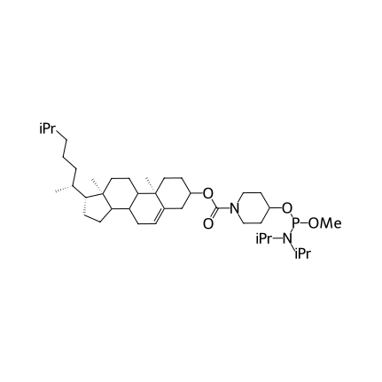 COP(OC1CCN(C(=O)OC2CC[C@@]3(C)C(=CCC4C3CC[C@@]3(C)C4CC[C@@H]3[C@H](C)CCCC(C)C)C2)CC1)N(C(C)C)C(C)C